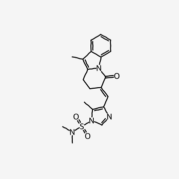 Cc1c2n(c3ccccc13)C(=O)/C(=C/c1ncn(S(=O)(=O)N(C)C)c1C)CC2